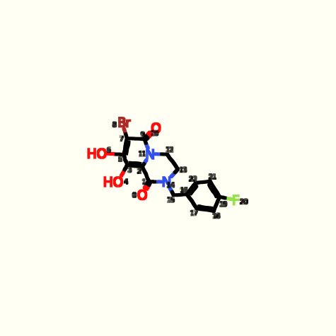 O=C1c2c(O)c(O)c(Br)c(=O)n2CCN1Cc1ccc(F)cc1